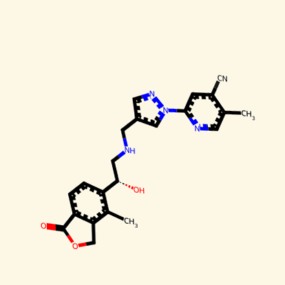 Cc1cnc(-n2cc(CNC[C@H](O)c3ccc4c(c3C)COC4=O)cn2)cc1C#N